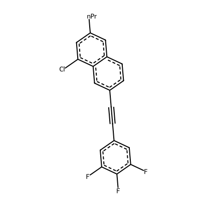 CCCc1cc(Cl)c2cc(C#Cc3cc(F)c(F)c(F)c3)ccc2c1